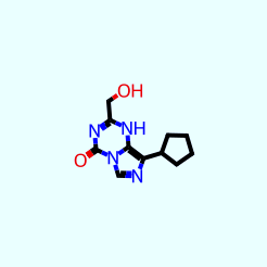 O=c1nc(CO)[nH]c2c(C3CCCC3)ncn12